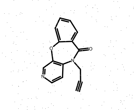 C#CCN1C(=O)c2ccccc2Oc2cnccc21